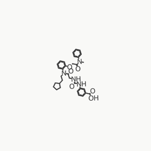 CN(C(=O)COc1ccccc1N(CCC1CCCC1)C(=O)CNC(=O)Nc1cccc(C(=O)O)c1)c1ccccc1